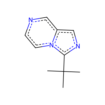 CC(C)(C)c1ncc2cnccn12